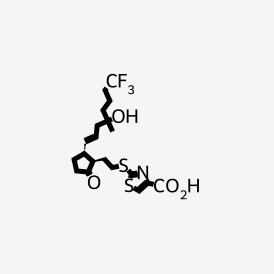 CC(O)(CC=C[C@H]1CCC(=O)[C@@H]1CCSc1nc(C(=O)O)cs1)CCCC(F)(F)F